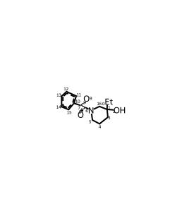 [CH2-][CH+]C1(O)CCCN(S(=O)(=O)c2ccccc2)C1